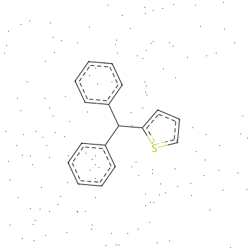 c1ccc(C(c2ccccc2)c2cccs2)cc1